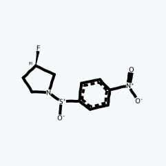 O=[N+]([O-])c1ccc([S+]([O-])N2CC[C@@H](F)C2)cc1